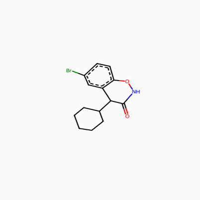 O=C1NOc2ccc(Br)cc2C1C1CCCCC1